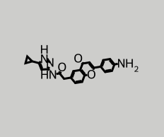 Nc1ccc(-c2cc(=O)c3cc(CC(=O)Nc4cc(C5CC5)[nH]n4)ccc3o2)cc1